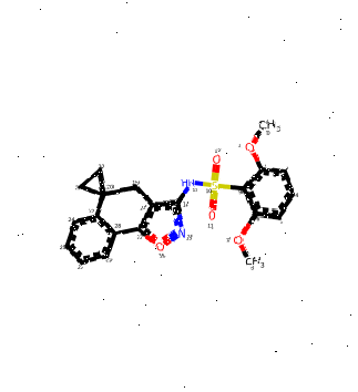 COc1cccc(OC)c1S(=O)(=O)Nc1noc2c1CC1(CC1)c1ccccc1-2